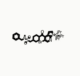 CC(C)[Si](C(C)C)(C(C)C)n1ccc2c(C(=O)C3CCC(CS(=O)(=O)N(C)Cc4ccccc4)CC3)c(Br)cnc21